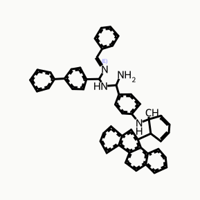 CC1(Nc2ccc(C(N)NC(/N=C/c3ccccc3)c3ccc(-c4ccccc4)cc3)cc2)C=CC=CC1c1cc2ccccc2c2ccc3ccccc3c12